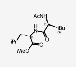 CC[C@H](C)[C@H](NC(C)=O)C(=O)N[C@@H](CC(C)C)C(=O)OC